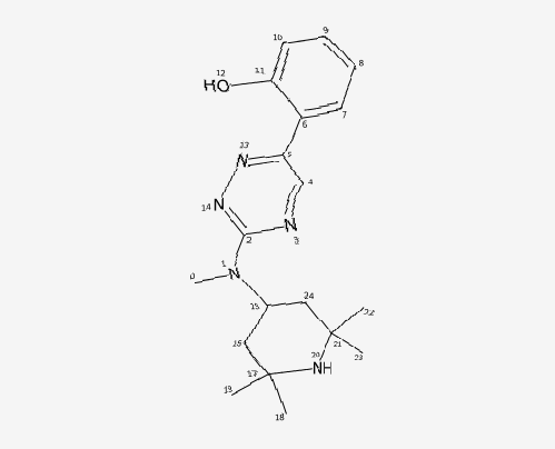 CN(c1ncc(-c2c[c]ccc2O)nn1)C1CC(C)(C)NC(C)(C)C1